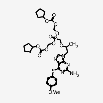 COc1ccc(Sc2nc(N)nc3c2ncn3CC(C)OCP(=O)(OCOC(=O)OC2CCCC2)OCOC(=O)OC2CCCC2)cc1